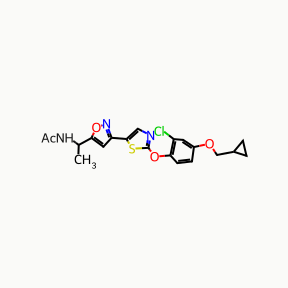 CC(=O)NC(C)c1cc(-c2cnc(Oc3ccc(OCC4CC4)cc3Cl)s2)no1